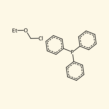 CCOCCl.c1ccc(P(c2ccccc2)c2ccccc2)cc1